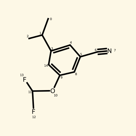 [CH2]C(C)c1cc(C#N)cc(OC(F)F)c1